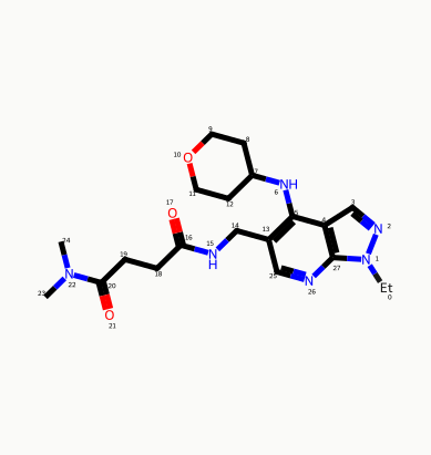 CCn1ncc2c(NC3CCOCC3)c(CNC(=O)CCC(=O)N(C)C)cnc21